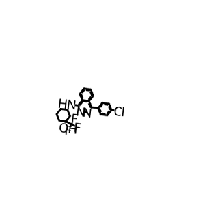 OC1(C(F)(F)F)CCCC(Nc2nnc(-c3ccc(Cl)cc3)c3ccccc23)C1